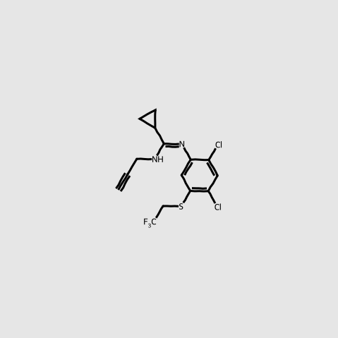 C#CCN/C(=N\c1cc(SCC(F)(F)F)c(Cl)cc1Cl)C1CC1